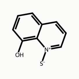 Oc1cccc2ccc[n+]([S-])c12